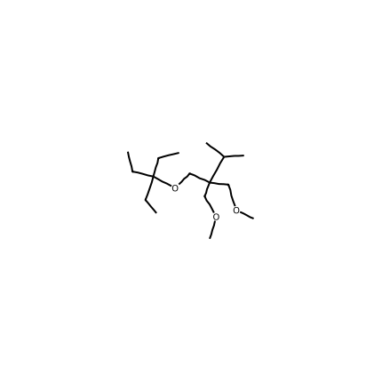 CCC(CC)(CC)OCC(COC)(COC)C(C)C